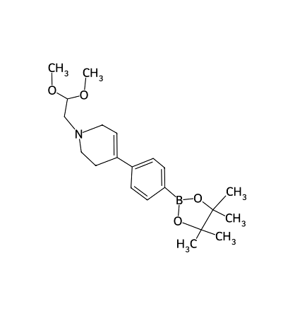 COC(CN1CC=C(c2ccc(B3OC(C)(C)C(C)(C)O3)cc2)CC1)OC